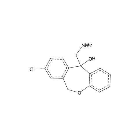 CNCC1(O)c2ccc(Cl)cc2COc2ccccc21